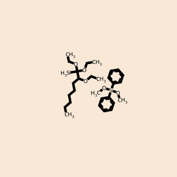 CCCCCCC(OCC)C([SiH3])(OCC)OCC.CO[Si](OC)(c1ccccc1)c1ccccc1